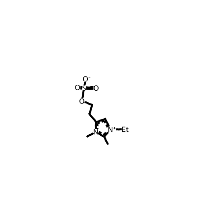 CC[n+]1cc(CCOS(=O)(=O)[O-])n(C)c1C